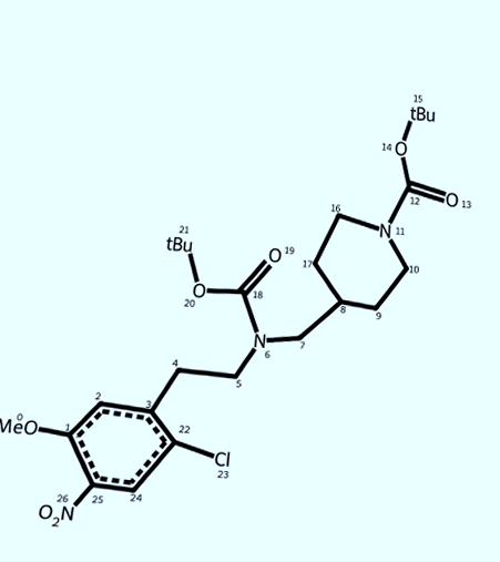 COc1cc(CCN(CC2CCN(C(=O)OC(C)(C)C)CC2)C(=O)OC(C)(C)C)c(Cl)cc1[N+](=O)[O-]